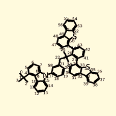 CC(C)(C)c1cccc2c1c1ccccc1n2-c1cccc(CC(C)(C)c2c(-c3cccc4c3sc3ccccc34)cccc2-c2cccc3c2sc2ccccc23)c1